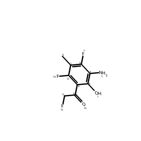 Cc1c(F)c(N)c(O)c(C(=O)CF)c1F